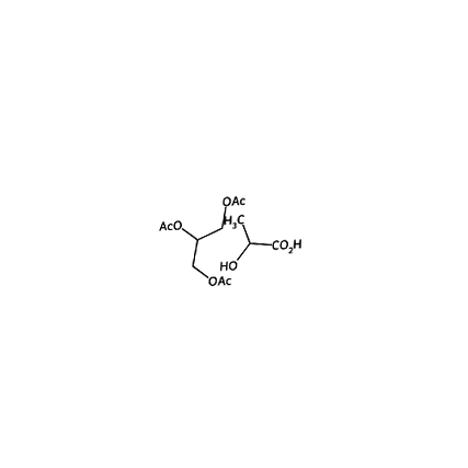 CC(=O)OCC(COC(C)=O)OC(C)=O.CC(O)C(=O)O